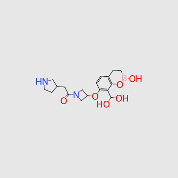 O=C(CC1CCNC1)N1CC(Oc2ccc3c(c2C(O)O)OB(O)CC3)C1